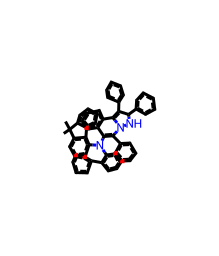 CC1(C)c2ccccc2-c2c(N(C3=C(c4ccccc4)N4NC(c5ccccc5)C(c5ccccc5)=C4c4ccccc43)c3ccccc3-c3ccccc3)cccc21